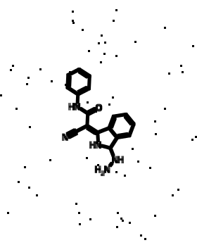 N#CC(C(=O)Nc1ccccc1)=C1NC(NN)c2ccccc21